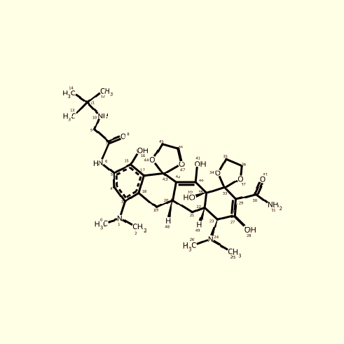 CN(C)c1cc(NC(=O)CNC(C)(C)C)c(O)c2c1C[C@H]1C[C@H]3[C@H](N(C)C)C(O)=C(C(N)=O)C4(OCCO4)[C@@]3(O)C(O)=C1C21OCCO1